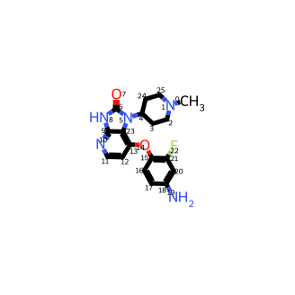 CN1CCC(n2c(=O)[nH]c3nccc(Oc4ccc(N)cc4F)c32)CC1